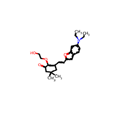 CCN(CC)c1ccc2cc(C=CC3=C(OCCO)C(=O)CC(C)(C)C3)oc2c1